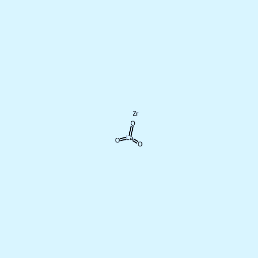 [O]=[La](=[O])=[O].[Zr]